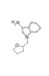 Nc1cn(CC2CCCO2)c2ccccc12